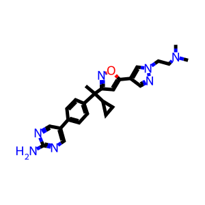 CN(C)CCn1cc(-c2cc(C(C)(c3ccc(-c4cnc(N)nc4)cc3)C3CC3)no2)cn1